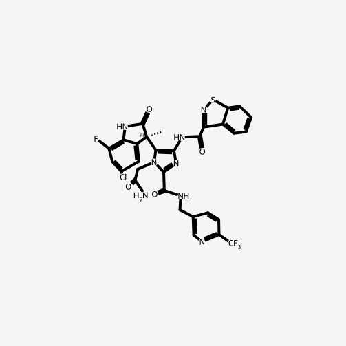 C[C@@]1(c2c(NC(=O)c3nsc4ccccc34)nc(C(=O)NCc3ccc(C(F)(F)F)nc3)n2CC(N)=O)C(=O)Nc2c(F)cc(Cl)cc21